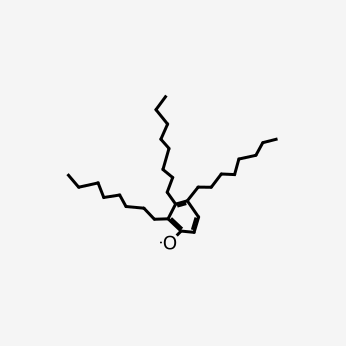 CCCCCCCCc1ccc([O])c(CCCCCCCC)c1CCCCCCCC